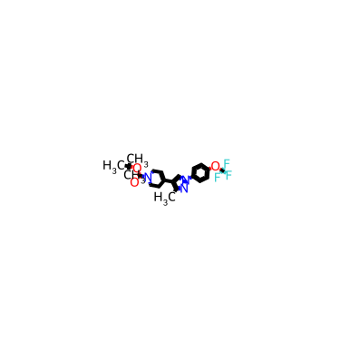 Cc1nn(-c2ccc(OC(F)(F)F)cc2)cc1C1=CCN(C(=O)OC(C)(C)C)CC1